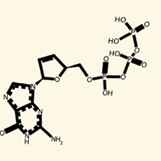 Nc1nc2c(ncn2[C@H]2C=C[C@@H](COP(=O)(O)OP(=O)(O)OP(=O)(O)O)O2)c(=O)[nH]1